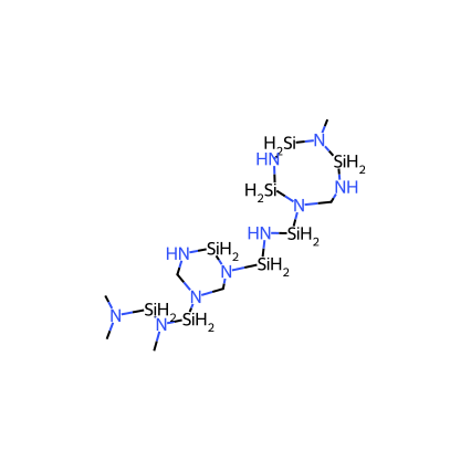 CN(C)[SiH2]N(C)[SiH2]N1CN[SiH2]N([SiH2]N[SiH2]N2CN[SiH2]N(C)[SiH2]N[SiH2]2)C1